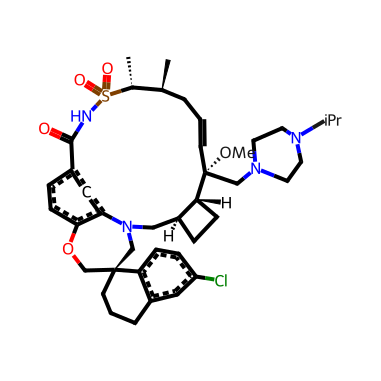 CO[C@@]1(CN2CCN(C(C)C)CC2)/C=C/C[C@H](C)[C@@H](C)S(=O)(=O)NC(=O)c2ccc3c(c2)N(C[C@@H]2CC[C@H]21)C[C@@]1(CCCc2cc(Cl)ccc21)CO3